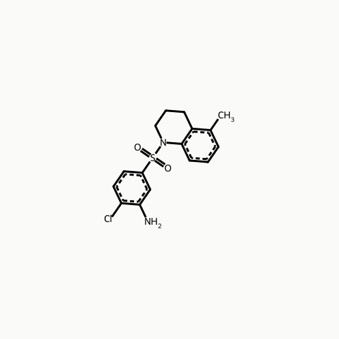 Cc1cccc2c1CCCN2S(=O)(=O)c1ccc(Cl)c(N)c1